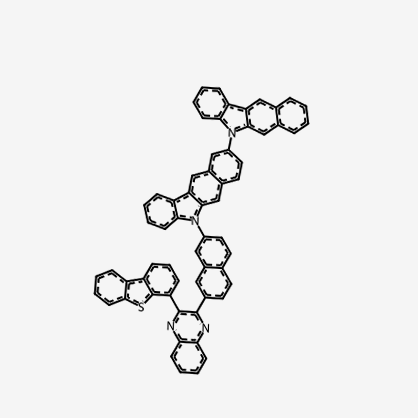 c1ccc2cc3c(cc2c1)c1ccccc1n3-c1ccc2cc3c(cc2c1)c1ccccc1n3-c1ccc2ccc(-c3nc4ccccc4nc3-c3cccc4c3sc3ccccc34)cc2c1